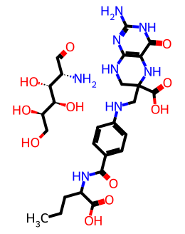 CCCC(NC(=O)c1ccc(NCC2(C(=O)O)CNc3nc(N)[nH]c(=O)c3N2)cc1)C(=O)O.N[C@@H](C=O)[C@@H](O)[C@@H](O)[C@H](O)CO